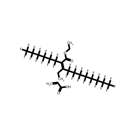 C=CC(=O)O.CCOC(=O)C(=C(CC)C(F)(F)C(F)(F)C(F)(F)C(F)(F)C(F)(F)C(F)(F)C(F)(F)C(F)(F)F)C(F)(F)C(F)(F)C(F)(F)C(F)(F)C(F)(F)C(F)(F)F